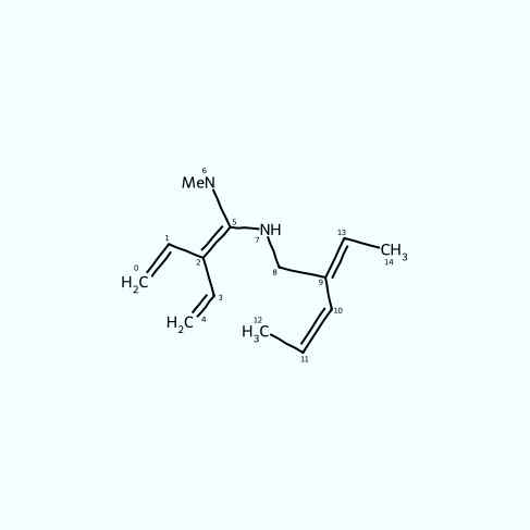 C=CC(C=C)=C(NC)NCC(/C=C\C)=C/C